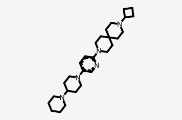 c1cc(N2CCC3(CC2)CCN(C2CCC2)CC3)ncc1N1CCC(N2CCCCC2)CC1